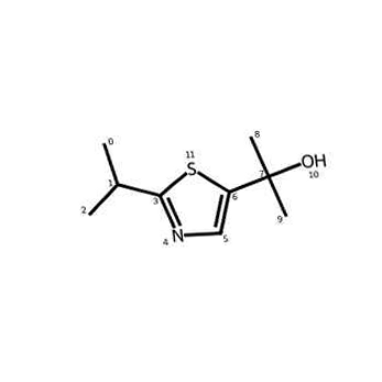 CC(C)c1ncc(C(C)(C)O)s1